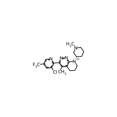 Cc1c(-c2ncc(C(F)(F)F)cc2Cl)nnc2c1CCCN2[C@H]1CCCN(C)C1